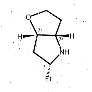 CC[C@@H]1C[C@@H]2OCC[C@@H]2N1